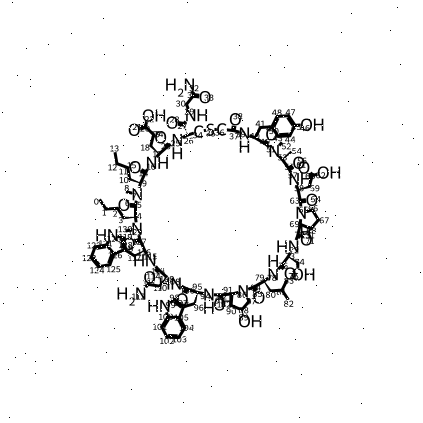 CCCC[C@H]1C(=O)N(C)[C@@H](CCCC)C(=O)N[C@@H](CCC(=O)O)C(=O)N[C@H](C(=O)NCC(N)=O)CSCC(=O)NC(Cc2ccc(O)cc2)C(=O)N(C)[C@@H](C)C(=O)N[C@@H](CC(=O)O)C(=O)N2CCC[C@H]2C(=O)N[C@@H](CO)C(=O)N[C@@H](CC(C)C)C(=O)N2C[C@H](O)C[C@H]2C(=O)N[C@@H](Cc2c[nH]c3ccccc23)C(=O)N[C@@H](CCN)C(=O)N[C@@H](Cc2c[nH]c3ccccc23)C(=O)N1C